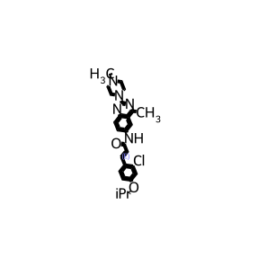 Cc1nc(N2CCN(C)CC2)nc2ccc(NC(=O)/C=C/c3ccc(OC(C)C)cc3Cl)cc12